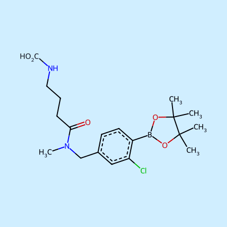 CN(Cc1ccc(B2OC(C)(C)C(C)(C)O2)c(Cl)c1)C(=O)CCCNC(=O)O